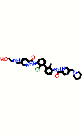 Cc1c(NC(=O)c2ccc(CN3CCCCC3)cn2)cccc1-c1cccc(NC(=O)c2ccc(CNCCO)cn2)c1Cl